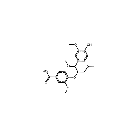 COCC(Oc1ccc(C(=O)O)cc1OC)C(OC)c1ccc(O)c(OC)c1